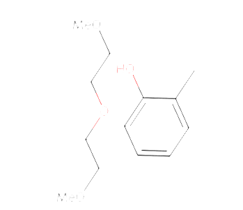 COCCOCCOC.Cc1ccccc1O